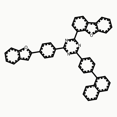 c1ccc2oc(-c3ccc(-c4nc(-c5ccc(-c6cccc7ccccc67)cc5)nc(-c5cccc6c5oc5ccccc56)n4)cc3)cc2c1